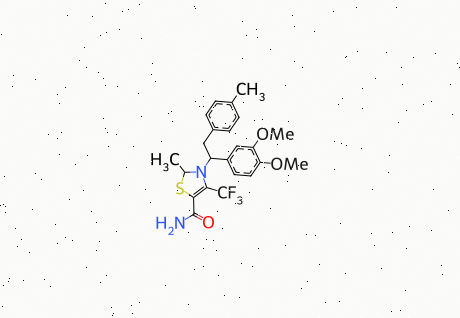 COc1ccc(C(Cc2ccc(C)cc2)N2C(C(F)(F)F)=C(C(N)=O)SC2C)cc1OC